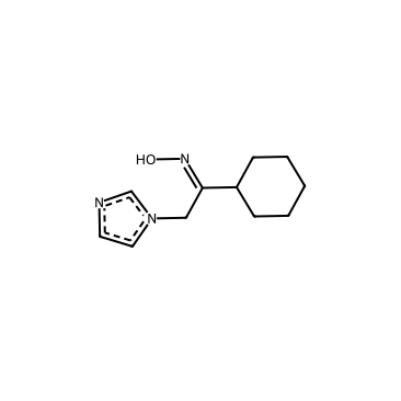 O/N=C(\Cn1ccnc1)C1CCCCC1